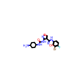 NC1CCC(NC(=O)Nc2nocc2/C(=N/O)Nc2ccc(F)c(Br)c2)CC1